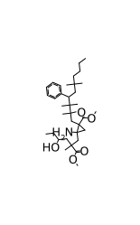 CCCCC(C)(C)CC(c1ccccc1)C(C)(C)C(C)(C)CC1(C(=O)OC)CC1(N)CC(C)(CC(O)CC)C(=O)OC